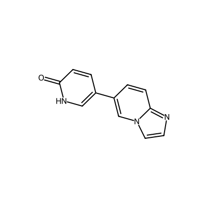 O=c1ccc(-c2ccc3nccn3c2)c[nH]1